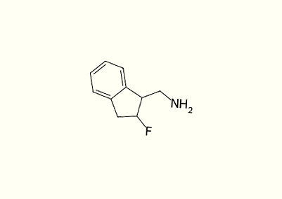 NCC1c2ccccc2CC1F